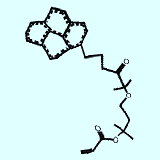 C=CC(=O)OC(C)(C)CCOC(C)(C)C(=O)CCCc1ccc2ccc3cccc4ccc1c2c34